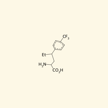 CCC(CC(N)C(=O)O)c1ccc(C(F)(F)F)cc1